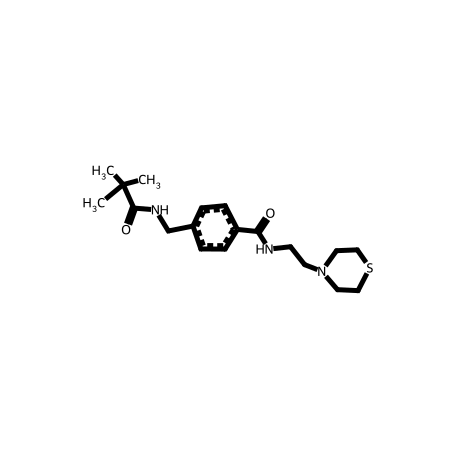 CC(C)(C)C(=O)NCc1ccc(C(=O)NCCN2CCSCC2)cc1